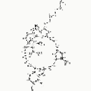 COCCOCCn1nc2c(c1C)-c1c(Cl)ccc3c1c(C)c(C(=O)O)n3CCCOc1cc(cc3c(F)c(F)ccc13)CCc1cc(nn1C)CSC2